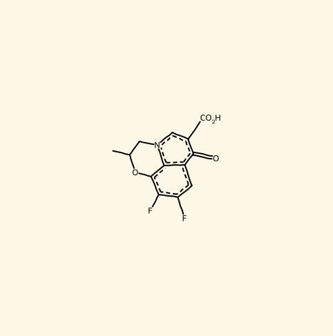 CC1Cn2cc(C(=O)O)c(=O)c3cc(F)c(F)c(c32)O1